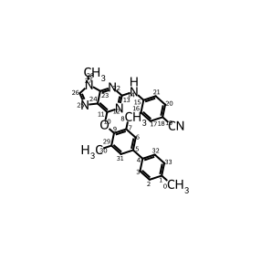 Cc1ccc(-c2cc(C)c(Oc3nc(Nc4ccc(C#N)cc4)nc4c3ncn4C)c(C)c2)cc1